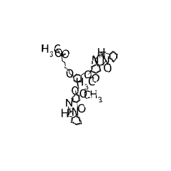 COC(=O)CCCCOc1cc(COc2cc3c(cc2OC)C(=O)N2c4ccccc4C[C@H]2C=N3)cc(COc2cc3c(cc2OC)C(=O)N2c4ccccc4C[C@H]2C=N3)c1